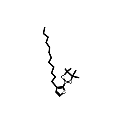 CCCCCCCCCCCCc1ccsc1B1OC(C)(C)C(C)(C)O1